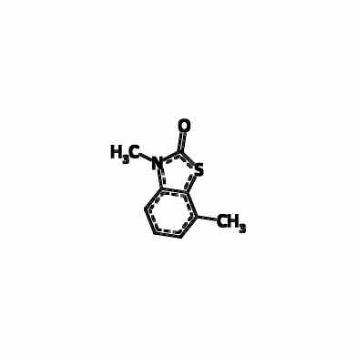 Cc1cccc2c1sc(=O)n2C